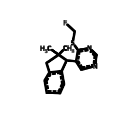 CC1(C)Cc2ccccc2C1c1cncnc1SCF